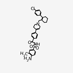 Cc1cc(S(=O)(=O)NC(=O)c2ccc(C3=CCN(CC4=C(c5ccc(Cl)cc5)CCCC4)CC3)cc2)ccc1N